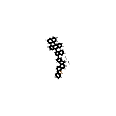 CC1(C)c2cc(-c3ccc(-c4c5ccccc5c(-c5cccc6ccccc56)c5ccccc45)c4ccccc34)ccc2-c2c1ccc1c2ccc2c3ccccc3sc12